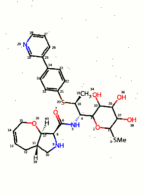 CSC1OC([C@H](NC(=O)[C@H]2NC[C@@H]3CC=CCO[C@H]32)[C@H](C)Sc2ccc(-c3cccnc3)cc2)C(O)C(O)C1O